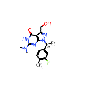 CC[C@@H](c1ccc(C(F)(F)F)c(F)c1)n1nc(CO)c2c(=O)[nH]c(N(C)C)nc21